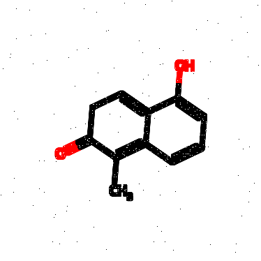 CC1=c2cccc(O)c2=CCC1=O